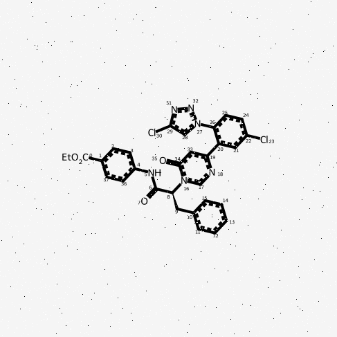 CCOC(=O)c1ccc(NC(=O)[C@H](Cc2ccccc2)n2cnc(-c3cc(Cl)ccc3-n3cc(Cl)nn3)cc2=O)cc1